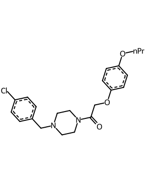 CCCOc1ccc(OCC(=O)N2CCN(Cc3ccc(Cl)cc3)CC2)cc1